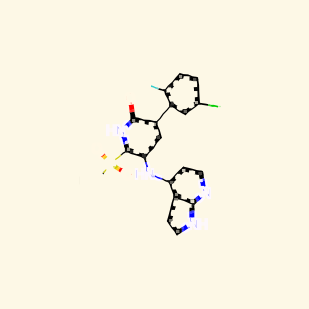 CS(=O)(=O)c1[nH]c(=O)c(-c2cc(Cl)ccc2F)cc1Nc1ccnc2[nH]ccc12